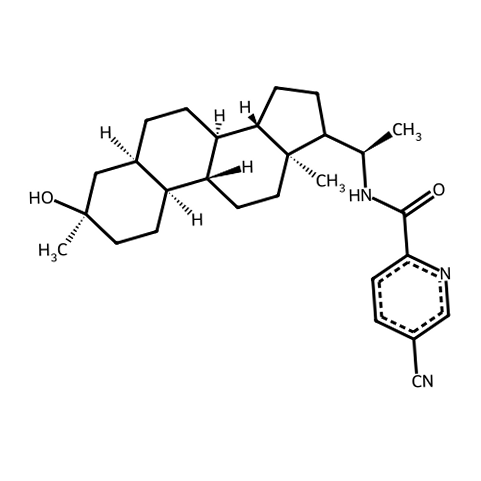 C[C@@H](NC(=O)c1ccc(C#N)cn1)C1CC[C@H]2[C@@H]3CC[C@@H]4C[C@](C)(O)CC[C@@H]4[C@H]3CC[C@]12C